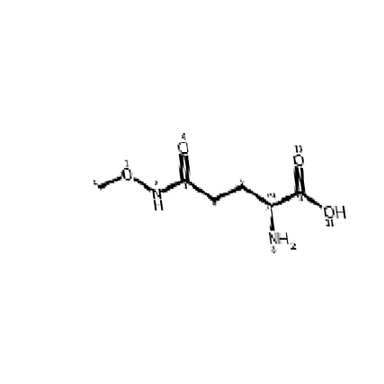 CONC(=O)CC[C@H](N)C(=O)O